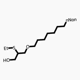 CCCCCCCCCCCCCCCCOCC(CO)SCC